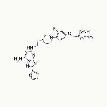 Nc1nc(NCCN2CCN(c3ccc(OCc4n[nH]c(=O)o4)cc3F)CC2)nc2nc(-c3ccco3)nn12